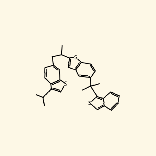 CC(C)c1csc2cc(CC(C)c3cc4cc(C(C)(C)c5scc6ccccc56)ccc4s3)ccc12